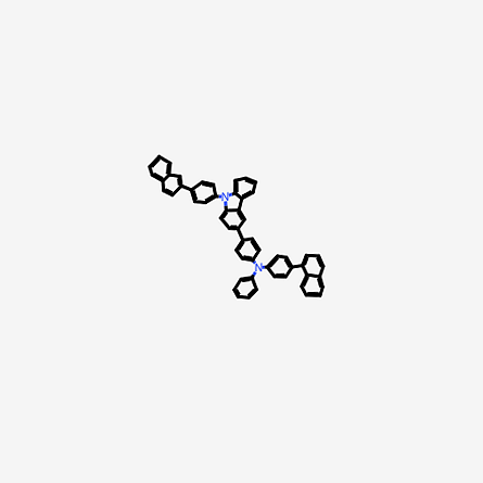 c1ccc(N(c2ccc(-c3ccc4c(c3)c3ccccc3n4-c3ccc(-c4ccc5ccccc5c4)cc3)cc2)c2ccc(-c3cccc4ccccc34)cc2)cc1